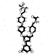 CC(=O)NCC1CCN(Cc2cc(Oc3ccc(N4CCN(CCN(C)S(C)(=O)=O)CC4)nc3)nc(-c3cc(Cl)cc(Cl)c3)c2)CC1